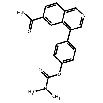 CN(C)C(=O)Oc1ccc(-c2cncc3ccc(C(N)=O)cc23)cc1